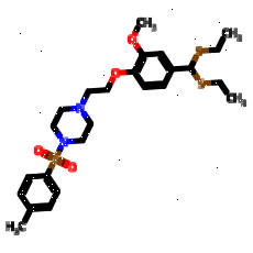 CCSC(SCC)c1ccc(OCCN2CCN(S(=O)(=O)c3ccc(C)cc3)CC2)c(OC)c1